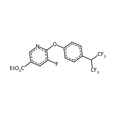 CCOC(=O)c1cnc(Oc2ccc(C(C(F)(F)F)C(F)(F)F)cc2)c(F)c1